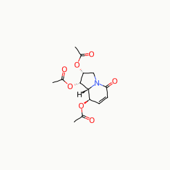 CC(=O)O[C@H]1[C@H]2[C@H](OC(C)=O)C=CC(=O)N2C[C@H]1OC(C)=O